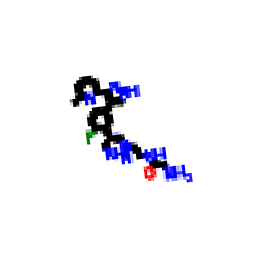 Cc1cccc(-c2n[nH]cc2-c2ccc(F)c(/C(C=N)=C/NCCNC(=O)CN)c2)n1